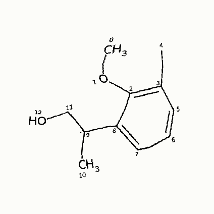 COc1c(I)cccc1[C](C)CO